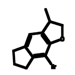 CC1COc2c1cc1c(c2Br)CCC1